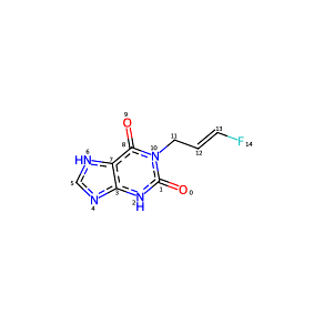 O=c1[nH]c2nc[nH]c2c(=O)n1CC=CF